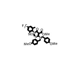 COC(=O)c1c(N(Cc2ccc(OC)cc2)Cc2ccc(OC)cc2)ncn(-c2c(C)cc(C(F)(F)F)cc2[N+](=O)[O-])c1=O